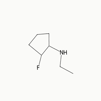 CCNC1CCCC1F